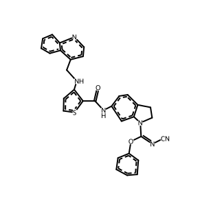 N#C/N=C(/Oc1ccccc1)N1CCc2ccc(NC(=O)c3sccc3NCc3ccnc4ccccc34)cc21